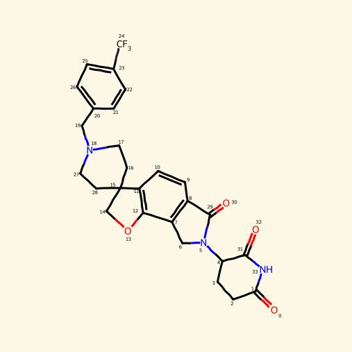 O=C1CCC(N2Cc3c(ccc4c3OCC43CCN(Cc4ccc(C(F)(F)F)cc4)CC3)C2=O)C(=O)N1